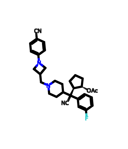 CC(=O)O[C@H]1CCC[C@@H]1C(C#N)(c1cccc(F)c1)C1CCN(CC2CN(c3ccc(C#N)cc3)C2)CC1